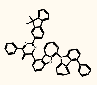 C=C1C(c2ccccc2)=NC(c2ccc3c(c2)C(C)(C)c2ccccc2-3)=NC1c1cccc2c1C1C=CC=CC(n3c4ccccc4c4c(-c5ccccc5)cccc43)=C1O2